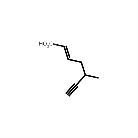 C#CC(C)C/C=C/C(=O)O